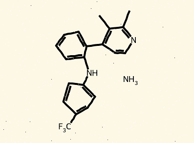 Cc1nccc(-c2ccccc2Nc2ccc(C(F)(F)F)cc2)c1C.N